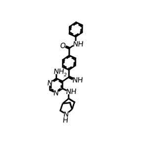 N=C(c1ccc(C(=O)Nc2ccccc2)cc1)c1c(N)ncnc1NC1CC2CC1CN2